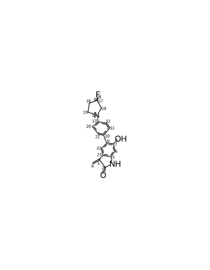 C=C1C(=O)Nc2cc(O)c(-c3ccc(N4CC[C@@H](F)C4)cc3)cc21